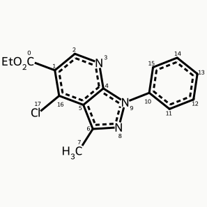 CCOC(=O)c1cnc2c(c(C)nn2-c2ccccc2)c1Cl